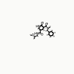 COC(C)CNC(=O)c1c[nH]c(=O)c(C(=O)N(C)Cc2ccccc2)c1